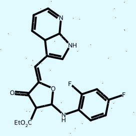 CCOC(=O)C1C(=O)/C(=C/C2=CNC3N=CC=CC23)OC1Nc1ccc(F)cc1F